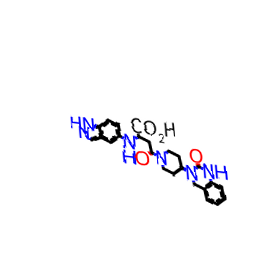 O=C(O)C(CC(=O)N1CCC(N2Cc3ccccc3NC2=O)CC1)Nc1ccc2[nH]ncc2c1